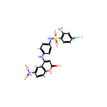 O=c1cc(Nc2ccc(NS(=O)(=O)c3ccc(F)cc3Br)cc2)c2cc([N+](=O)[O-])ccc2o1